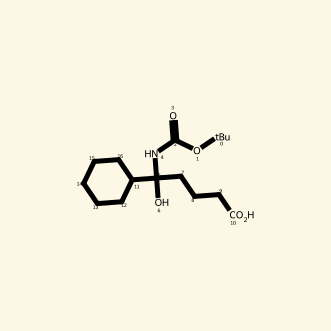 CC(C)(C)OC(=O)NC(O)(CCCC(=O)O)C1CCCCC1